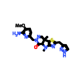 COc1ccc(CN2N=CC3(C)c4sc(Cc5cc[nH]n5)nc4N(C)C3C2=O)nc1N